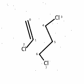 C=CCl.ClCCCCl